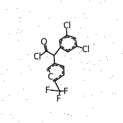 O=C(Cl)C(c1ccc(C(F)(F)F)cc1)c1cc(Cl)cc(Cl)c1